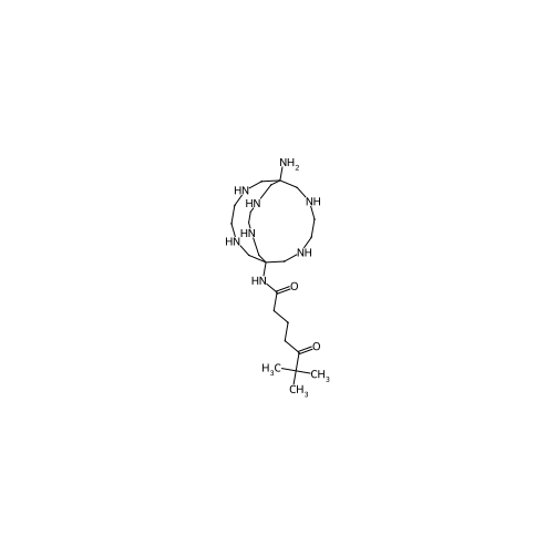 CC(C)(C)C(=O)CCCC(=O)NC12CNCCNCC(N)(CNCCNC1)CNCCNC2